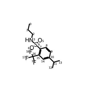 CCCNS(=O)(=O)c1ccc(C(C)C)cc1C(F)(F)F